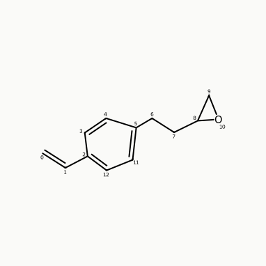 C=Cc1ccc(CCC2CO2)cc1